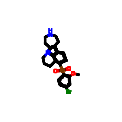 COc1cc(Br)ccc1S(=O)(=O)c1ccc2c3c(n4c2c1CCC4)CCNCC3